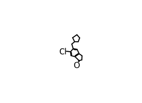 O=C1CCc2cc(CC3CCCC3)c(Cl)cc21